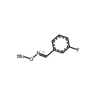 CC(C)(C)O/N=[C]/c1cccc(F)c1